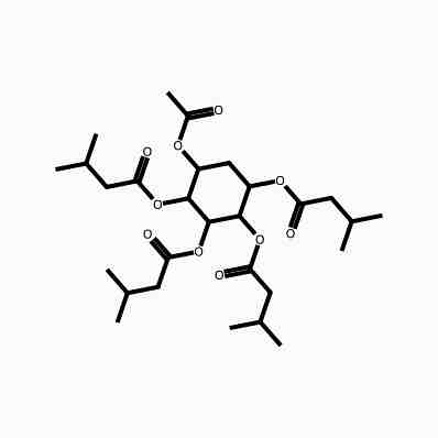 CC(=O)OC1CC(OC(=O)CC(C)C)C(OC(=O)CC(C)C)C(OC(=O)CC(C)C)[C]1OC(=O)CC(C)C